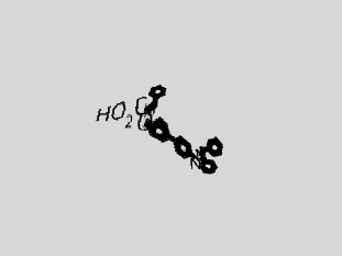 O=C(O)[C@H](Cc1ccccc1)Oc1ccc(-c2ccc(-c3nc4ccccc4n3Cc3ccccc3)cc2)cc1